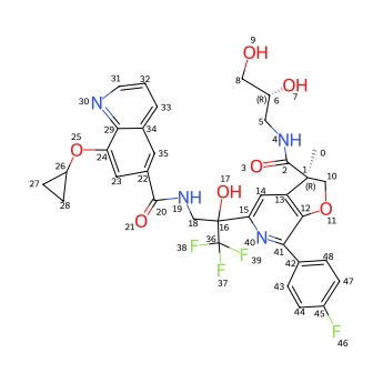 C[C@]1(C(=O)NC[C@@H](O)CO)COc2c1cc(C(O)(CNC(=O)c1cc(OC3CC3)c3ncccc3c1)C(F)(F)F)nc2-c1ccc(F)cc1